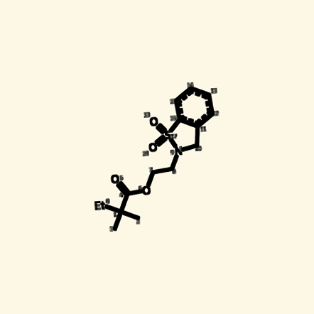 CCC(C)(C)C(=O)OCCN1Cc2ccccc2S1(=O)=O